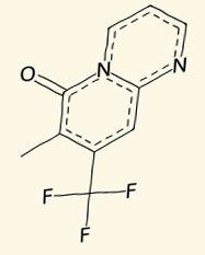 Cc1c(C(F)(F)F)cc2ncccn2c1=O